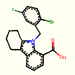 O=C(O)c1cccc2c3c(n(Cc4cc(F)ccc4Br)c12)CCCC3